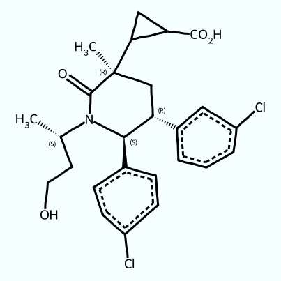 C[C@@H](CCO)N1C(=O)[C@@](C)(C2CC2C(=O)O)C[C@H](c2cccc(Cl)c2)[C@H]1c1ccc(Cl)cc1